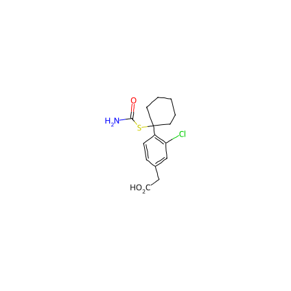 NC(=O)SC1(c2ccc(CC(=O)O)cc2Cl)CCCCC1